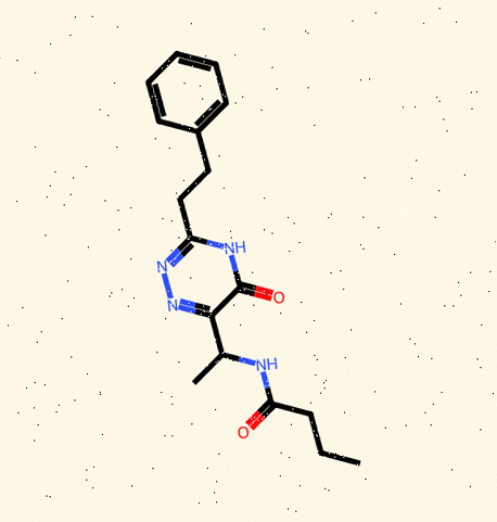 CCCC(=O)NC(C)c1nnc(CCc2ccccc2)[nH]c1=O